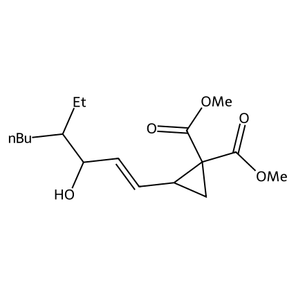 CCCCC(CC)C(O)/C=C/C1CC1(C(=O)OC)C(=O)OC